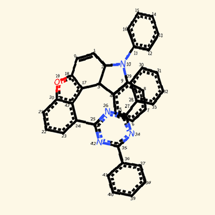 C1=CC2C(c3ccccc3N2c2ccccc2)c2c1oc1cccc(-c3nc(-c4ccccc4)nc(-c4ccccc4)n3)c21